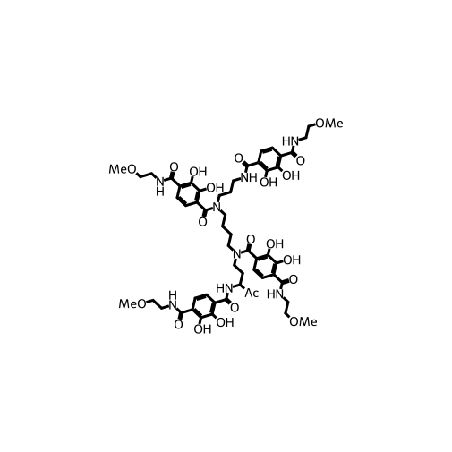 COCCNC(=O)c1ccc(C(=O)NCCCN(CCCCN(CCC(NC(=O)c2ccc(C(=O)NCCOC)c(O)c2O)C(C)=O)C(=O)c2ccc(C(=O)NCCOC)c(O)c2O)C(=O)c2ccc(C(=O)NCCOC)c(O)c2O)c(O)c1O